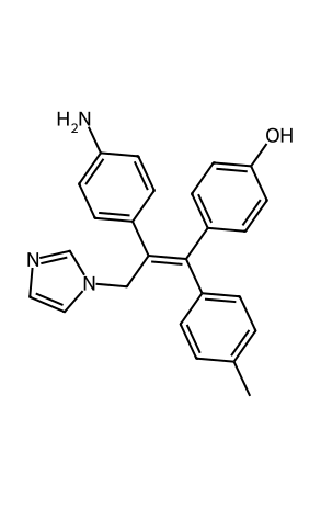 Cc1ccc(/C(=C(\Cn2ccnc2)c2ccc(N)cc2)c2ccc(O)cc2)cc1